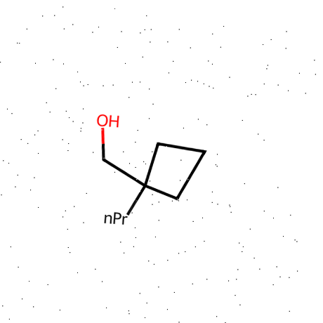 CCCC1(CO)CCC1